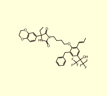 C/C=C/c1cc(C(O)(C(F)(F)F)C(F)(F)F)cc(Cc2ccccc2)c1OCCCCN1C(=O)NC(CC)(c2ccc3c(c2)OCCO3)C1=O